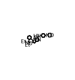 CCN(CC)C(=O)c1ccccc1-c1ccc2cnc(Nc3ccc(N4CCOCC4)cc3)nn12